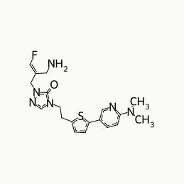 CN(C)c1ccc(-c2ccc(CCn3cnn(C/C(=C/F)CN)c3=O)s2)cn1